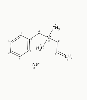 C=CC[N+](C)(C)Cc1ccccc1.[Na+]